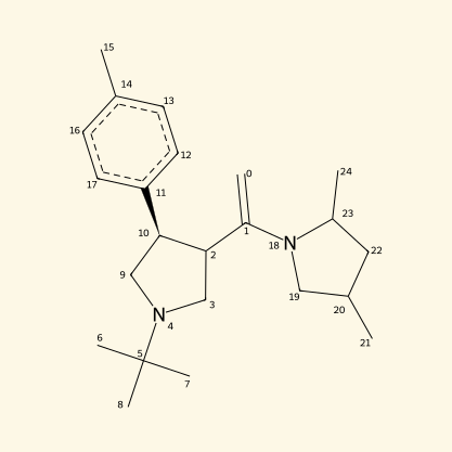 C=C(C1CN(C(C)(C)C)C[C@H]1c1ccc(C)cc1)N1CC(C)CC1C